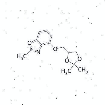 Cc1nc2c(OCC3COC(C)(C)O3)cccc2o1